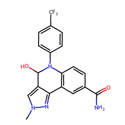 Cn1cc2c(n1)-c1cc(C(N)=O)ccc1N(c1ccc(C(F)(F)F)cc1)C2O